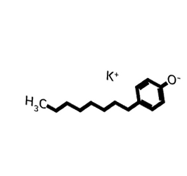 CCCCCCCCc1ccc([O-])cc1.[K+]